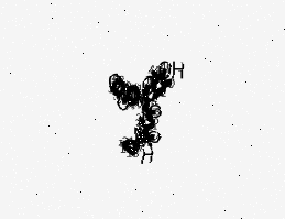 Cc1cc(C[C@@H](CC(=O)N2CCC(n3nc(-c4ccccc4)[nH]c3=O)CC2)C(=O)N2CC[N+]([O-])(C3CCOCC3)CC2)cc(C)c1O